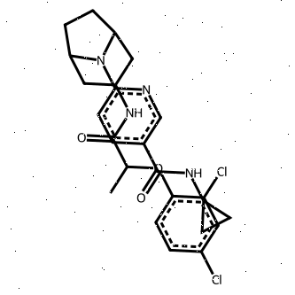 CC(Oc1ccc(Cl)cc1Cl)C(=O)NC1CC2CCC(C1)N2c1ccc(C(=O)NC2CC2)cn1